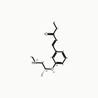 CCC(=O)/C=C/c1cccc(O[C@H](C)CNC)c1